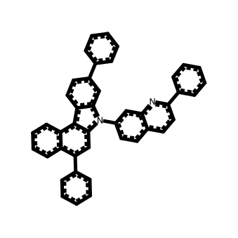 c1ccc(-c2ccc3c4c5ccccc5c(-c5ccccc5)cc4n(-c4ccc5ccc(-c6ccccc6)nc5c4)c3c2)cc1